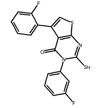 O=c1c2c(-c3ccccc3F)csc2nc(S)n1-c1cccc(F)c1